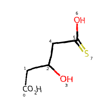 O=C(O)CC(O)CC(O)=S